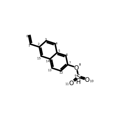 C=Cc1ccc2cc(O[SH](=O)=O)ccc2c1